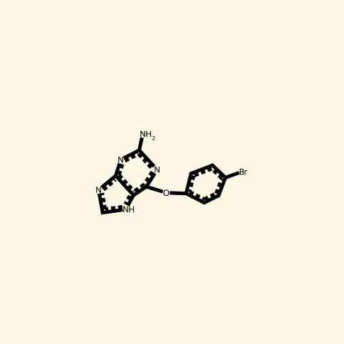 Nc1nc(Oc2ccc(Br)cc2)c2[nH]cnc2n1